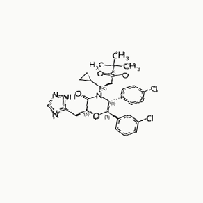 CC(C)(C)S(=O)(=O)C[C@H](C1CC1)N1C(=O)[C@H](Cc2ncn[nH]2)O[C@H](c2cccc(Cl)c2)[C@H]1c1ccc(Cl)cc1